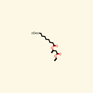 C=COC(=O)CC(=C)OC(=O)CCCCCCCCCCCCCCCCC